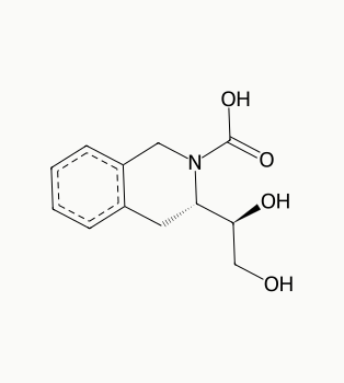 O=C(O)N1Cc2ccccc2C[C@H]1[C@@H](O)CO